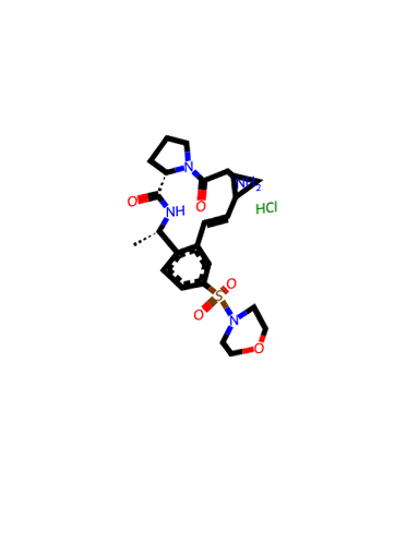 C[C@H](NC(=O)[C@@H]1CCCN1C(=O)CN)c1ccc(S(=O)(=O)N2CCOCC2)cc1/C=C/C1CC1.Cl